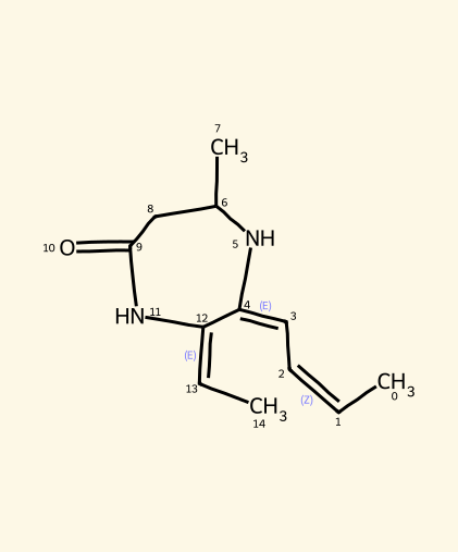 C\C=C/C=C1/NC(C)CC(=O)N/C1=C/C